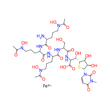 CC(=O)N(O)CCCC(N)C(=O)NC(CCCN(O)C(C)=O)C(=O)NC(CCCN(O)C(C)=O)C(=O)NC(CO)C(=O)NC(C(=O)O)C(O)[C@H]1S[C@@H](n2ccc(=O)n(C)c2=O)[C@H](O)[C@@H]1O.[Fe+3]